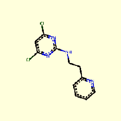 Clc1cc(Cl)nc(NCCc2ccccn2)n1